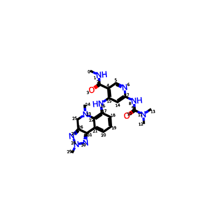 CNC(=O)c1cnc(NC(=O)N(C)C)cc1Nc1cccc2c1N(C)Cc1nn(C)nc1-2